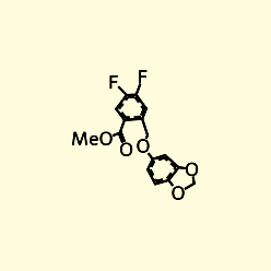 COC(=O)c1cc(F)c(F)cc1COc1ccc2c(c1)OCO2